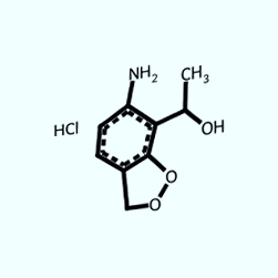 CC(O)c1c(N)ccc2c1OOC2.Cl